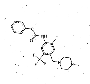 CN1CCN(Cc2cc(F)c(NC(=O)Oc3ccccc3)cc2C(F)(F)F)CC1